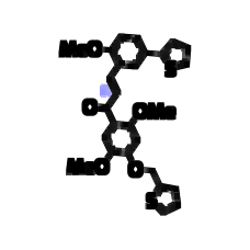 COc1ccc(-c2cccs2)cc1/C=C/C(=O)c1cc(OC)c(OCc2cccs2)cc1OC